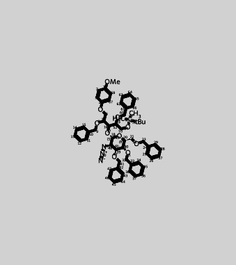 COc1ccc(OCC(OCc2ccccc2)C(O[C@@H]2O[C@H](COCc3ccccc3)[C@@H](OCc3ccccc3)[C@H](OCc3ccccc3)[C@H]2N=[N+]=[N-])C(CO[Si](C)(C)C(C)(C)C)OCc2ccccc2)cc1